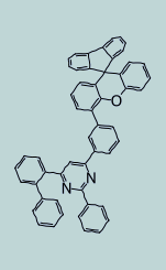 c1ccc(-c2nc(-c3cccc(-c4cccc5c4Oc4ccccc4C54c5ccccc5-c5ccccc54)c3)cc(-c3ccccc3-c3ccccc3)n2)cc1